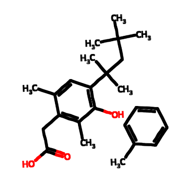 Cc1cc(C(C)(C)CC(C)(C)C)c(O)c(C)c1CC(=O)O.Cc1ccccc1